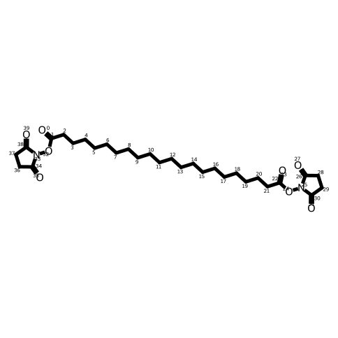 O=C(CCCCCCCCCCCCCCCCCCCCC(=O)ON1C(=O)CCC1=O)ON1C(=O)CCC1=O